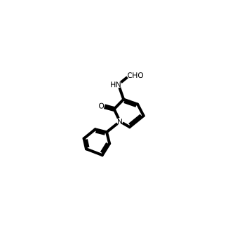 O=CNc1cccn(-c2ccccc2)c1=O